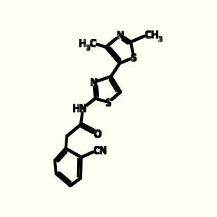 Cc1nc(C)c(-c2csc(NC(=O)Cc3ccccc3C#N)n2)s1